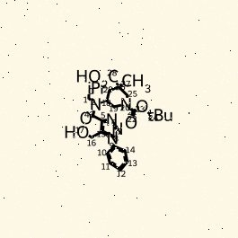 CC(C)CN(C(=O)c1nnn(-c2ccccc2)c1CO)[C@@H]1CN(C(=O)OC(C)(C)C)C[C@](C)(C(=O)O)C1